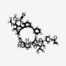 C=CC(=O)N1CC[C@H](C(=O)N(C)[C@H](C(=O)N[C@H]2Cc3cccc(c3)-c3ccc4c(c3)c(c(/C(C=C)=C(/N=C\C)[C@H](C)OC)n4CC#N)CC(C)(C)COC(=O)[C@@]3(O)CCCN(N3)C2=O)C(C)C)C1